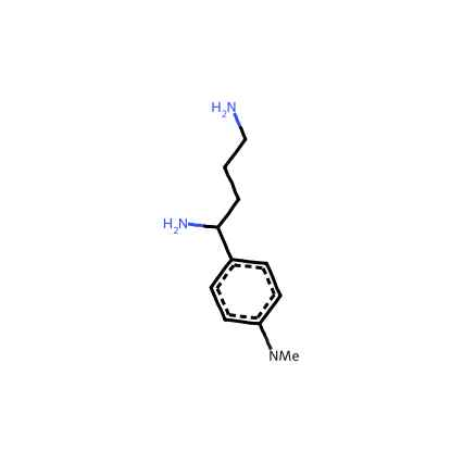 CNc1ccc(C(N)CCCN)cc1